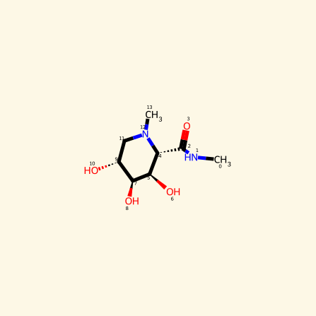 CNC(=O)[C@@H]1[C@@H](O)[C@@H](O)[C@H](O)CN1C